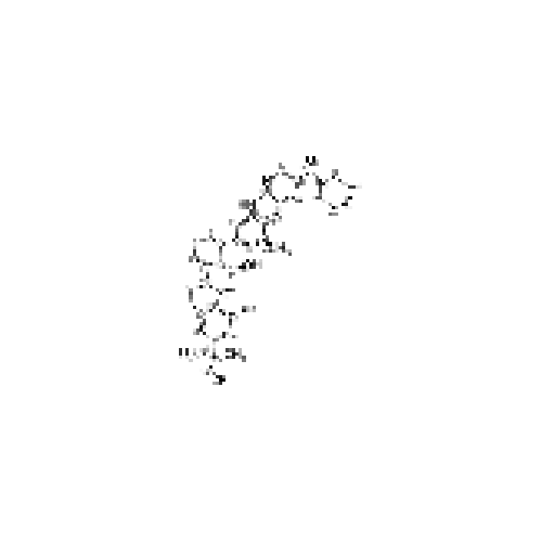 Cn1nc(-c2cccc(-n3ccc4cc(C(C)(C)CF)cc(F)c4c3=O)c2CO)cc(Nc2ccc(C(=O)N3CCOCC3)cn2)c1=O